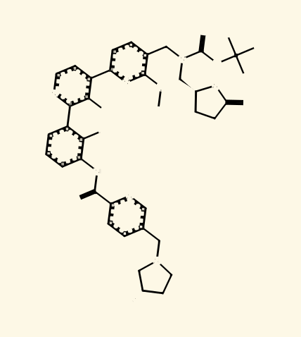 COc1nc(-c2ccnc(-c3cccc(NC(=O)c4ccc(CN5CC[C@H](O)C5)cn4)c3Cl)c2Cl)ccc1CN(C[C@@H]1CCC(=O)N1)C(=O)OC(C)(C)C